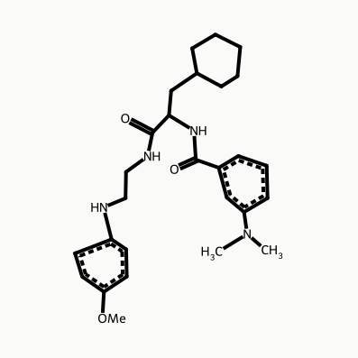 COc1ccc(NCCNC(=O)C(CC2CCCCC2)NC(=O)c2cccc(N(C)C)c2)cc1